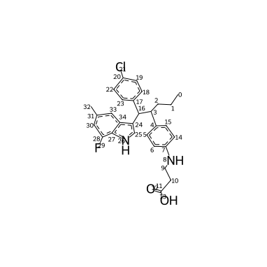 CCCC(c1ccc(NCCC(=O)O)cc1)C(c1ccc(Cl)cc1)c1c[nH]c2c(F)cc(C)cc12